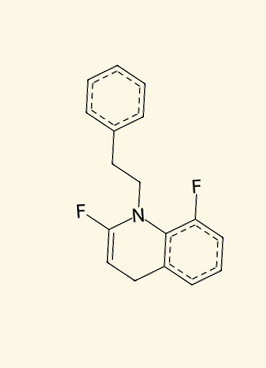 FC1=CCc2cccc(F)c2N1CCc1ccccc1